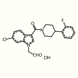 Cl.O=CCn1cc(C(=O)N2CCC(c3ccccc3F)CC2)c2ccc(Cl)cc21